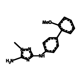 COc1ccccc1-c1ccc(Nc2nc(N)n(C)n2)cc1